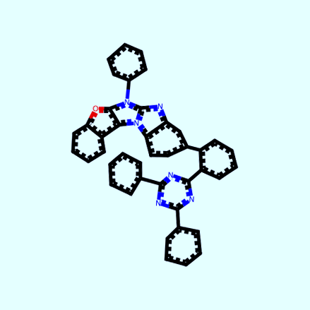 c1ccc(-c2nc(-c3ccccc3)nc(-c3ccccc3-c3ccc4c(c3)nc3n(-c5ccccc5)c5oc6ccccc6c5n43)n2)cc1